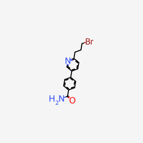 NC(=O)c1ccc(-c2ccc(CCCBr)nc2)cc1